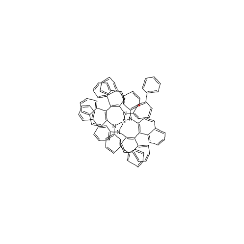 c1ccc(-c2cccc(N3c4ccc5ccccc5c4-c4c(ccc5ccccc45)N(c4cccc(-c5ccccc5)c4)[Si]34N(c3cccc(-c5ccccc5)c3)c3ccc5ccccc5c3-c3c(ccc5ccccc35)N4c3cccc(-c4ccccc4)c3)c2)cc1